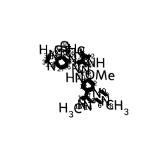 COc1cc(N2CCN(C)CC2)c(-c2cnn(C)c2)cc1Nc1nc(Nc2ccc3nccnc3c2P(C)(C)=O)c2c(C(F)(F)F)c[nH]c2n1